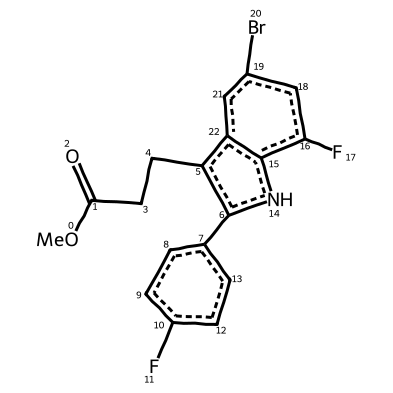 COC(=O)CCc1c(-c2ccc(F)cc2)[nH]c2c(F)cc(Br)cc12